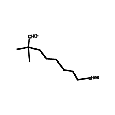 CCCCCCCCCCCCC(C)(C)[C]=O